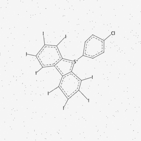 Clc1ccc(-[s+]2c3c(I)c(I)c(I)c(I)c3c3c(I)c(I)c(I)c(I)c32)cc1